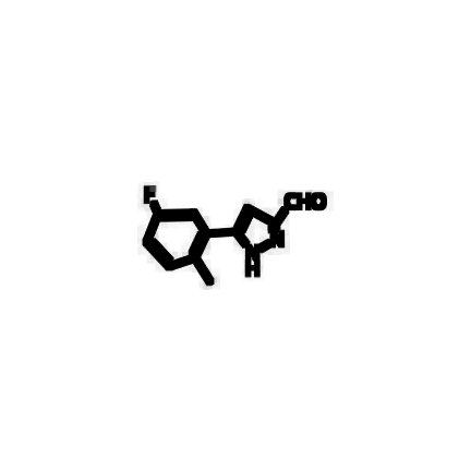 Cc1ccc(F)cc1-c1cc(C=O)n[nH]1